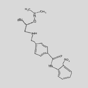 C[SiH](C)OC(CNCc1ccc(C(=O)Nc2ccccc2[N+](=O)[O-])cc1)C(C)(C)C